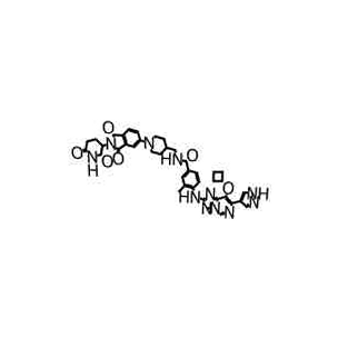 Cc1cc(C(=O)NCC2CCN(c3ccc4c(c3)C(=O)N(C3CCC(=O)NC3=O)C4=O)CC2)ccc1Nc1nc2c(OC3CCC3)c(-c3cn[nH]c3)ncn2n1